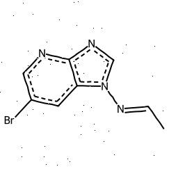 C/C=N/n1cnc2ncc(Br)cc21